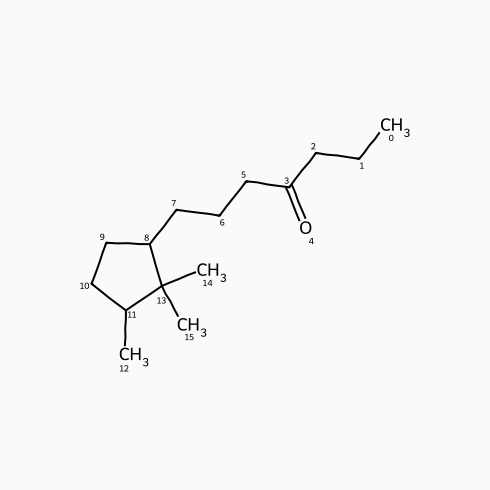 CCCC(=O)CCCC1CCC(C)C1(C)C